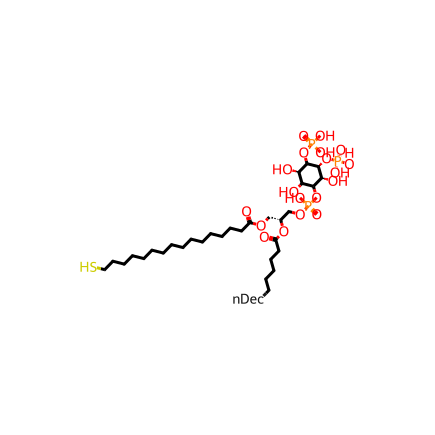 CCCCCCCCCCCCCCCC(=O)O[C@H](COC(=O)CCCCCCCCCCCCCCCS)COP(=O)(O)OC1C(O)[C@@H](O)C(OP(=O)(O)O)[C@@H](OP(=O)(O)O)[C@H]1O